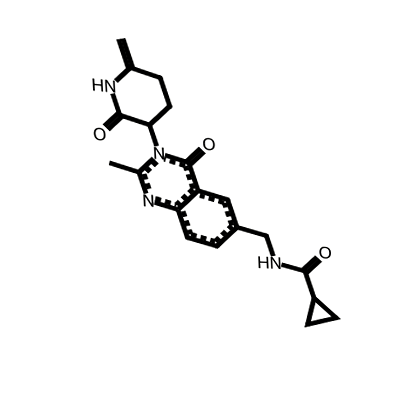 C=C1CCC(n2c(C)nc3ccc(CNC(=O)C4CC4)cc3c2=O)C(=O)N1